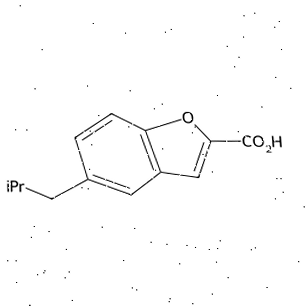 CC(C)Cc1ccc2oc(C(=O)O)cc2c1